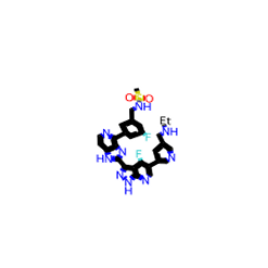 CCNCc1cncc(-c2cnc3[nH]nc(-c4nc5c(-c6cc(F)cc(CNS(C)(=O)=O)c6)nccc5[nH]4)c3c2F)c1